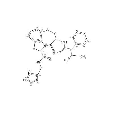 CC(C)[C@H](C(=O)N[C@H]1CCc2cccc3c2N(C1=O)[C@H](C(=O)NCc1nn[nH]n1)C3)c1ccccn1